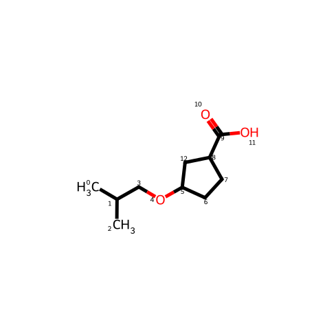 CC(C)COC1CCC(C(=O)O)C1